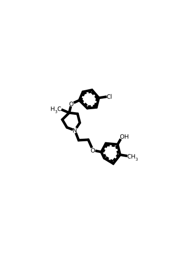 Cc1ccc(OCCN2CCC(C)(Oc3ccc(Cl)cc3)CC2)cc1O